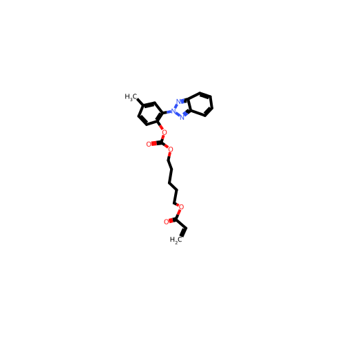 C=CC(=O)OCCCCCOC(=O)Oc1ccc(C)cc1-n1nc2ccccc2n1